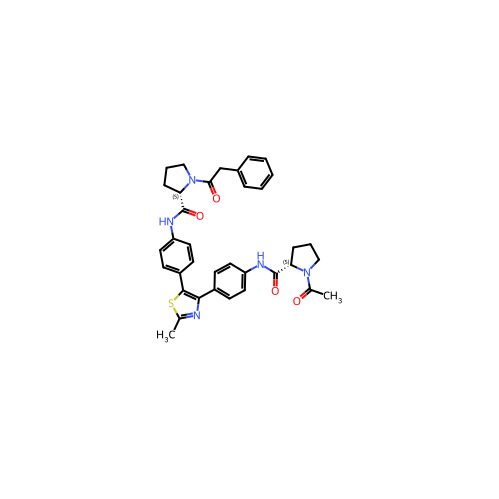 CC(=O)N1CCC[C@H]1C(=O)Nc1ccc(-c2nc(C)sc2-c2ccc(NC(=O)[C@@H]3CCCN3C(=O)Cc3ccccc3)cc2)cc1